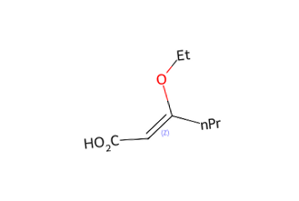 CCC/C(=C/C(=O)O)OCC